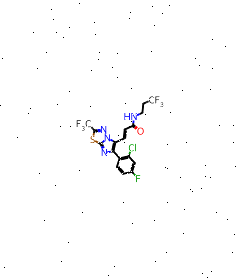 O=C(/C=C/c1c(-c2ccc(F)cc2Cl)nc2sc(C(F)(F)F)nn12)NCCC(F)(F)F